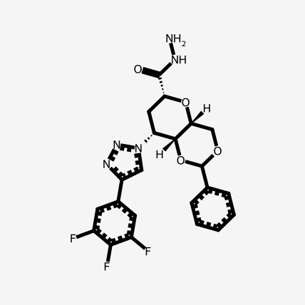 NNC(=O)[C@H]1C[C@@H](n2cc(-c3cc(F)c(F)c(F)c3)nn2)[C@H]2OC(c3ccccc3)OC[C@H]2O1